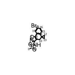 CS(=O)(=O)Nc1noc2c1CC1(CC1)c1ccc(Br)cc1-2